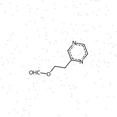 O=COCCc1cnccn1